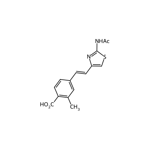 CC(=O)Nc1nc(/C=C/c2ccc(C(=O)O)c(C)c2)cs1